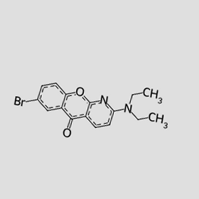 CCN(CC)c1ccc2c(=O)c3cc(Br)ccc3oc2n1